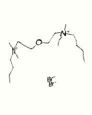 CCCC[N+](C)(C)CCOCC[N+](C)(C)CCCC.[Br-].[Br-]